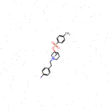 Cc1ccc(S(=O)(=O)OC2C[N+]3(CCc4ccc(I)cc4)CCC2CC3)cc1